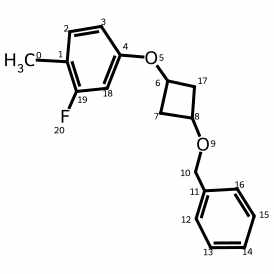 Cc1ccc(OC2CC(OCc3ccccc3)C2)cc1F